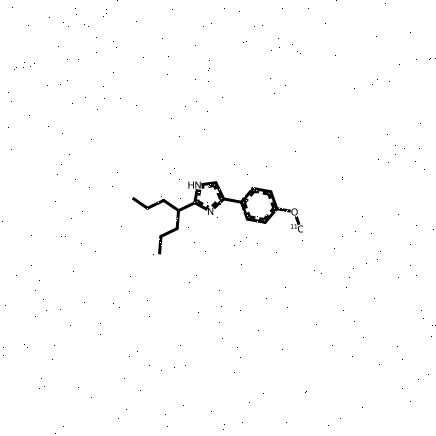 CCCC(CCC)c1nc(-c2ccc(O[11CH3])cc2)c[nH]1